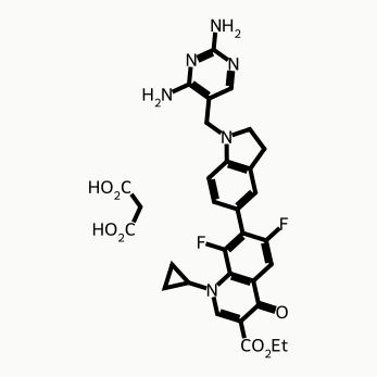 CCOC(=O)c1cn(C2CC2)c2c(F)c(-c3ccc4c(c3)CCN4Cc3cnc(N)nc3N)c(F)cc2c1=O.O=C(O)CC(=O)O